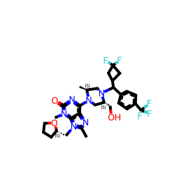 Cc1nc2c(N3C[C@@H](CO)N(C(c4ccc(C(F)(F)F)cc4)C4CC(F)(F)C4)C[C@@H]3C)nc(=O)n(C)c2n1C[C@@H]1CCCO1